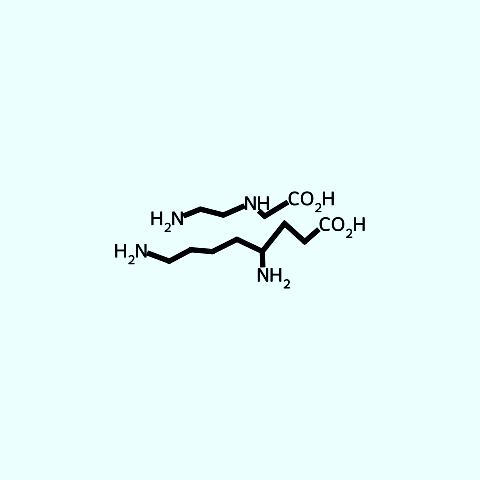 NCCCCC(N)CCC(=O)O.NCCNCC(=O)O